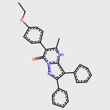 CCOc1ccc(-c2c(C)[nH]c3c(-c4ccccc4)c(-c4ccccc4)nn3c2=O)cc1